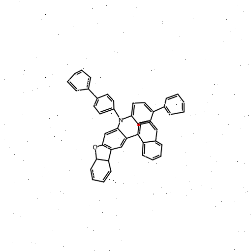 C1=CC2Oc3cc(N(c4ccc(-c5ccccc5)cc4)c4ccc(-c5ccccc5)cc4)c(-c4cccc5ccccc45)cc3C2C=C1